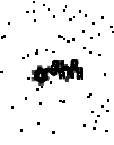 NC(CCC(O)OCc1ccccc1)C(=O)O